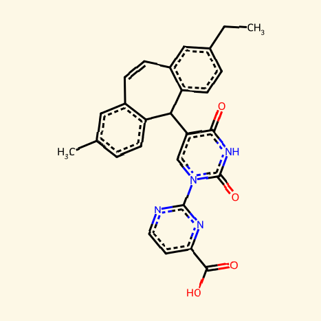 CCc1ccc2c(c1)C=Cc1cc(C)ccc1C2c1cn(-c2nccc(C(=O)O)n2)c(=O)[nH]c1=O